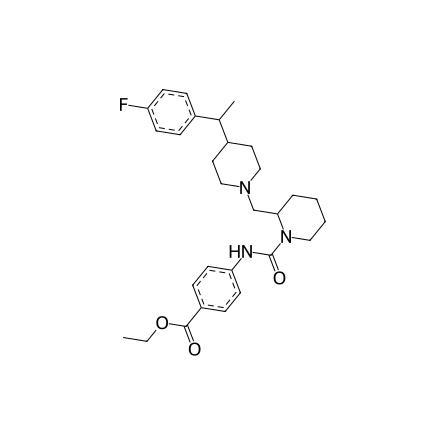 CCOC(=O)c1ccc(NC(=O)N2CCCCC2CN2CCC(C(C)c3ccc(F)cc3)CC2)cc1